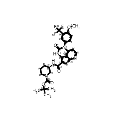 COc1ccc(N2C(=O)Nc3c(C(=O)N[C@@H]4CCCN(C(=O)OC(C)(C)C)C4)sc4nccc2c34)cc1C(F)(F)F